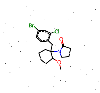 COC1CCCCC1(Cc1ccc(Br)cc1Cl)N1CCCC1=O